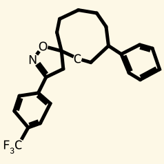 FC(F)(F)c1ccc(C2=NOC3(CCCCCC(c4ccccc4)CC3)C2)cc1